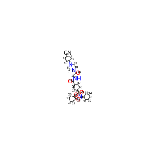 N#Cc1ccc(N2CCN(C(=O)CNC(=O)c3ccc(S(=O)(=O)N(Oc4ccccc4)c4ccccc4)cc3)CC2)cc1